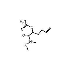 C=CCCC(OC(N)=O)C(=O)N(C)OC